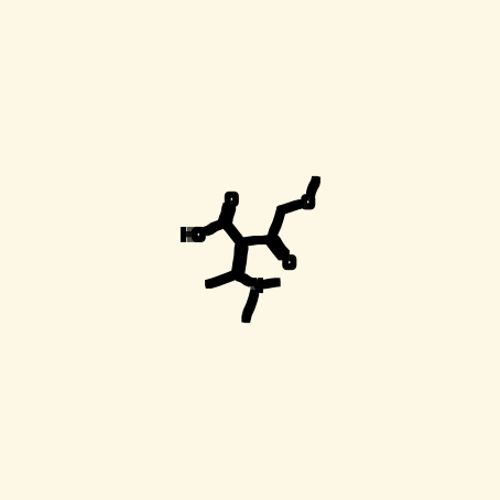 COCC(=O)C(C(=O)O)=C(C)N(C)C